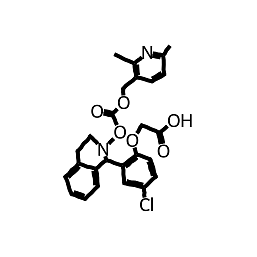 Cc1ccc(COC(=O)ON2CCc3ccccc3C2c2cc(Cl)ccc2OCC(=O)O)c(C)n1